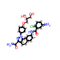 NC(=O)c1nn(-c2ccc(OCC(O)CO)cc2)c2c1CCc1ccc(NC(=O)c3cc(N)ccc3Cl)cc1-2